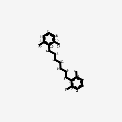 Cc1cccc(C)c1CCCCCCCc1c(C)cccc1C